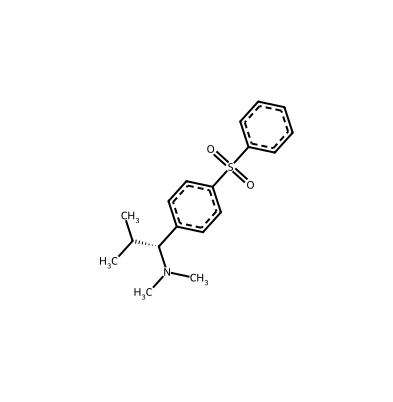 CC(C)[C@H](c1ccc(S(=O)(=O)c2ccccc2)cc1)N(C)C